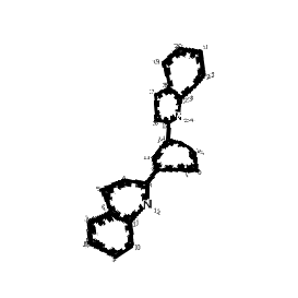 c1cc(-c2ccc3ccccc3n2)cc(-c2ccc3ccccc3n2)c1